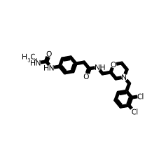 CNC(=O)Nc1ccc(CC(=O)NCC2CN(Cc3cccc(Cl)c3Cl)CCO2)cc1